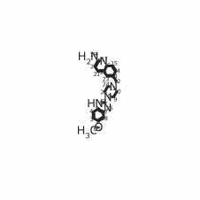 COc1ccc2[nH]c(N3CCN(Cc4ccc5nc(N)ccc5c4)CC3)nc2c1